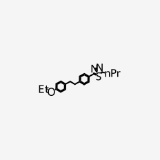 CCCc1nnc(-c2ccc(CCc3ccc(OCC)cc3)cc2)s1